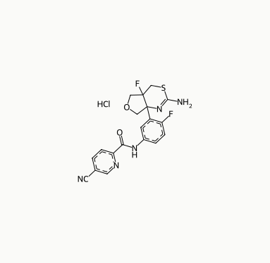 Cl.N#Cc1ccc(C(=O)Nc2ccc(F)c(C34COCC3(F)CSC(N)=N4)c2)nc1